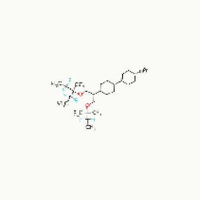 CCCC1CCC(C2CCC(C(COC(C(C)(F)F)(C(C)(F)F)C(F)(F)F)COC(C(C)(F)F)(C(F)(F)F)C(F)(F)F)CC2)CC1